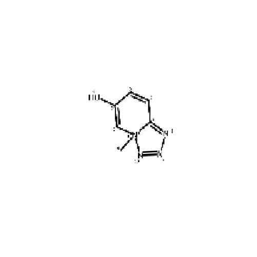 C[N+]12C=C(O)C=CC1=NN=N2